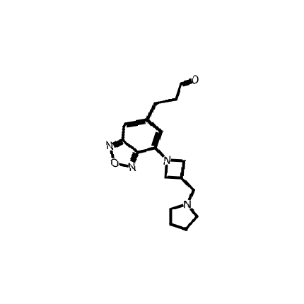 O=CCCc1cc(N2CC(CN3CCCC3)C2)c2nonc2c1